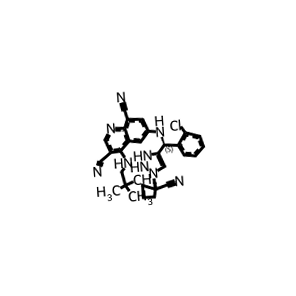 CC(C)(C)CNc1c(C#N)cnc2c(C#N)cc(N[C@H](C3=CN(C4(C#N)CCC4)NN3)c3ccccc3Cl)cc12